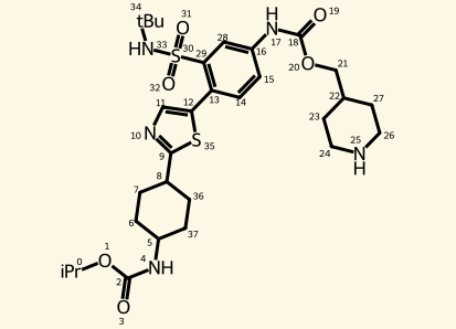 CC(C)OC(=O)NC1CCC(c2ncc(-c3ccc(NC(=O)OCC4CCNCC4)cc3S(=O)(=O)NC(C)(C)C)s2)CC1